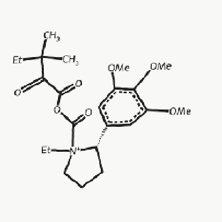 CCC(C)(C)C(=O)C(=O)OC(=O)[N+]1(CC)CCC[C@H]1c1cc(OC)c(OC)c(OC)c1